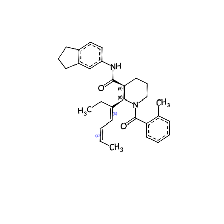 C/C=C\C=C(/CC)[C@H]1[C@@H](C(=O)Nc2ccc3c(c2)CCC3)CCCN1C(=O)c1ccccc1C